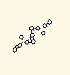 c1ccc(N(c2ccc3c(c2)oc2ccccc23)c2ccc3c4cccc5c6cc7c(cc6n(c3c2)c45)c2cccc3c4ccc(N(c5ccccc5)c5ccc6c(c5)oc5ccccc56)cc4n7c32)cc1